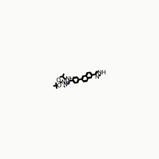 C=N/C=C(\NC(NC(=O)OC(C)(C)C)C(C)C)c1ccc(-c2ccc3cc(-c4c[nH]cn4)ccc3c2)cc1